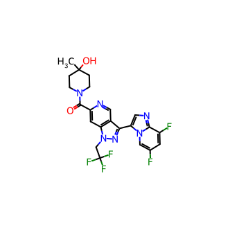 CC1(O)CCN(C(=O)c2cc3c(cn2)c(-c2cnc4c(F)cc(F)cn24)nn3CC(F)(F)F)CC1